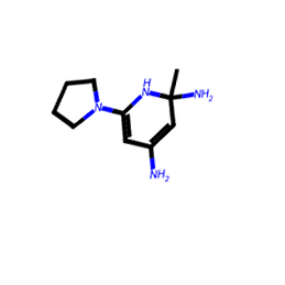 CC1(N)C=C(N)C=C(N2CCCC2)N1